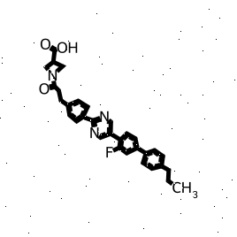 CCCc1ccc(-c2ccc(-c3cnc(-c4ccc(CCC(=O)N5CC(C(=O)O)C5)cc4)nc3)c(F)c2)cc1